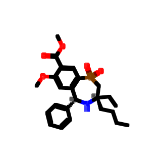 CCCC[C@]1(CC)CS(=O)(=O)c2cc(C(=O)OC)c(OC)cc2[C@@H](c2ccccc2)N1